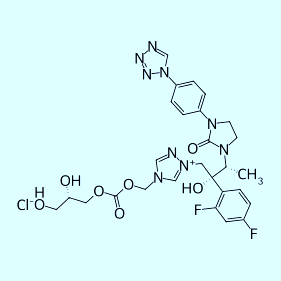 C[C@@H](N1CCN(c2ccc(-n3cnnn3)cc2)C1=O)[C@](O)(C[n+]1cn(COC(=O)OC[C@@H](O)CO)cn1)c1ccc(F)cc1F.[Cl-]